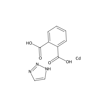 O=C(O)c1ccccc1C(=O)O.[Cd].c1c[nH]nn1